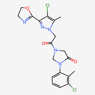 Cc1c(Cl)cccc1N1CN(C(=O)Cn2nc(C3=NCCO3)c(Cl)c2C)CC1=O